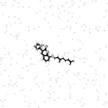 CC(C)=CCC/C(C)=C/COc1cccc2cc(-c3nnn[nH]3)c(=O)oc12